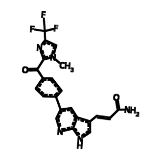 Cn1cc(C(F)(F)F)nc1C(=O)c1ccc(-c2cnc3[nH]cc(C=CC(N)=O)c3c2)cc1